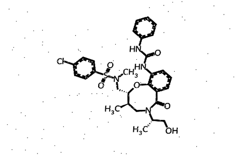 C[C@@H]1CN([C@@H](C)CO)C(=O)c2cccc(NC(=O)Nc3ccccc3)c2O[C@H]1CN(C)S(=O)(=O)c1ccc(Cl)cc1